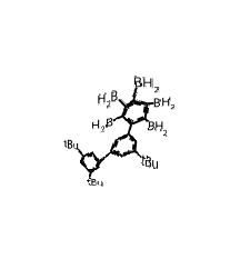 Bc1c(B)c(B)c(-c2cc(-c3cc(C(C)(C)C)cc(C(C)(C)C)c3)cc(C(C)(C)C)c2)c(B)c1B